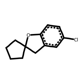 Clc1ccc2c(c1)CC1(CCCC1)O2